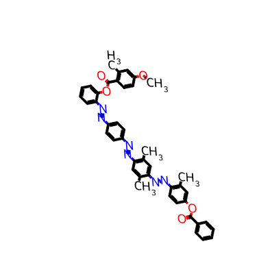 COc1ccc(C(=O)Oc2ccccc2N=Nc2ccc(N=Nc3cc(C)c(N=Nc4ccc(OC(=O)c5ccccc5)cc4C)cc3C)cc2)c(C)c1